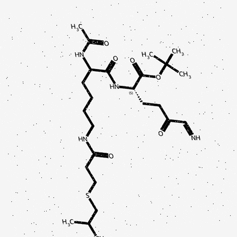 CC(=O)NC(CCCCNC(=O)CCSCC(C)C)C(=O)N[C@@H](CCC(=O)C=N)C(=O)OC(C)(C)C